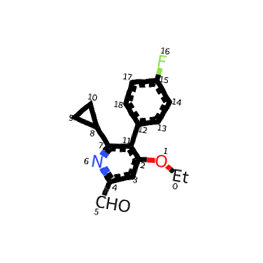 CCOc1cc(C=O)nc(C2CC2)c1-c1ccc(F)cc1